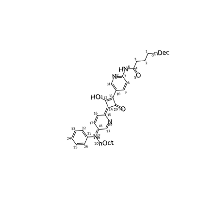 CCCCCCCCCCCCCC(=O)Nc1ccc(C2=C(O)/C(=C3C=C/C(=[N+](/CCCCCCCC)c4ccccc4)C=N\3)C2=O)cn1